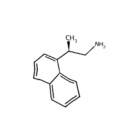 C[C@@H](CN)c1cccc2ccccc12